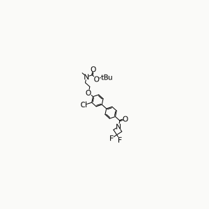 CN(CCOc1ccc(-c2ccc(C(=O)N3CC(F)(F)C3)cc2)cc1Cl)C(=O)OC(C)(C)C